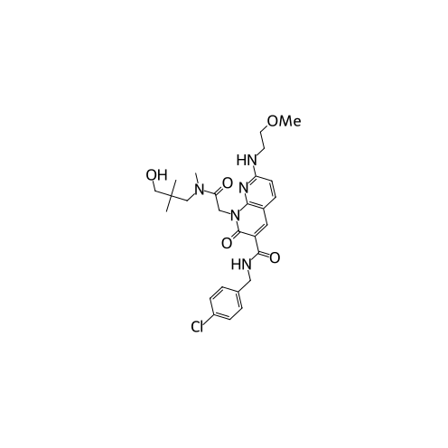 COCCNc1ccc2cc(C(=O)NCc3ccc(Cl)cc3)c(=O)n(CC(=O)N(C)CC(C)(C)CO)c2n1